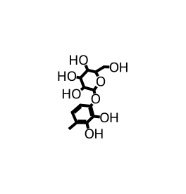 Cc1ccc(OC2OC(CO)C(O)C(O)C2O)c(O)c1O